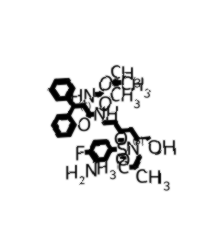 CC(C)CN([C@H](CO)CCCCNC(=O)[C@@H](NC(=O)OC(C)(C)C)C(c1ccccc1)c1ccccc1)S(=O)(=O)c1ccc(F)c(N)c1